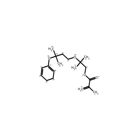 C=C(C)C(=O)OCC(C)(C)OCCC(C)(C)OC1=CCCC=C1